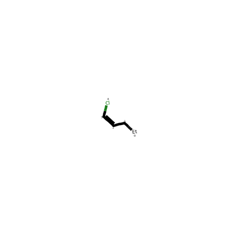 CCC/C=[C]\Cl